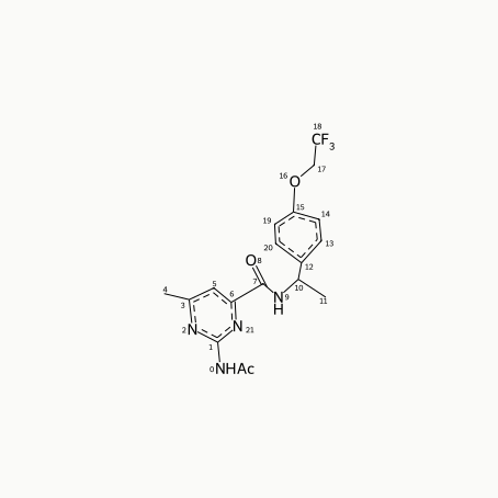 CC(=O)Nc1nc(C)cc(C(=O)NC(C)c2ccc(OCC(F)(F)F)cc2)n1